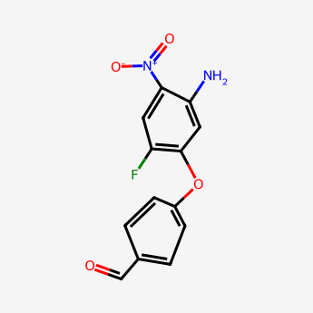 Nc1cc(Oc2ccc(C=O)cc2)c(F)cc1[N+](=O)[O-]